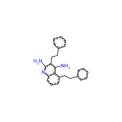 Nc1nc2cccc(CCc3ccccc3)c2c(N)c1CCc1ccccc1